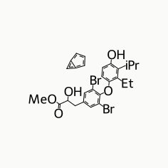 CCc1c(Oc2c(Br)cc(CC(O)C(=O)OC)cc2Br)ccc(O)c1C(C)C.c1cc2cc-2c1